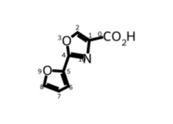 O=C(O)c1coc(-c2ccco2)n1